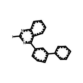 Ic1nc(-c2cccc(-c3ccccc3)c2)c2ccccc2n1